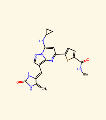 C=c1[nH]c(=O)[nH]/c1=C\c1cnn2c(NC3CC3)cc(-c3ccc(C(=O)NC(C)(C)C)s3)nc12